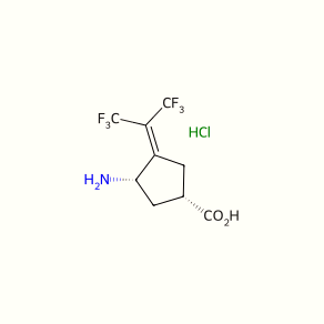 Cl.N[C@H]1C[C@@H](C(=O)O)CC1=C(C(F)(F)F)C(F)(F)F